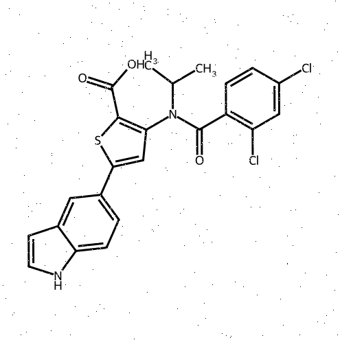 CC(C)N(C(=O)c1ccc(Cl)cc1Cl)c1cc(-c2ccc3[nH]ccc3c2)sc1C(=O)O